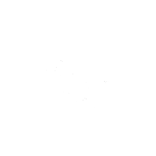 CCC(OC)C1Cc2cc(C(=O)NO)ccc2CN1C(=O)O